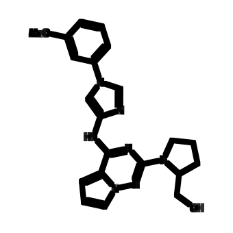 COc1cccc(-n2cnc(Nc3nc(N4CCCC4CO)nn4cccc34)c2)c1